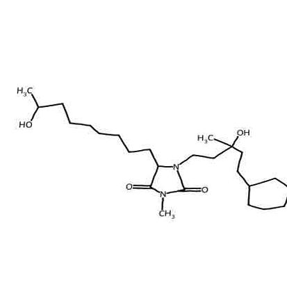 CC(O)CCCCCCCC1C(=O)N(C)C(=O)N1CCC(C)(O)CCC1CCCCC1